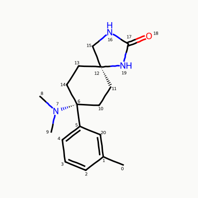 Cc1cccc([C@]2(N(C)C)CC[C@]3(CC2)CNC(=O)N3)c1